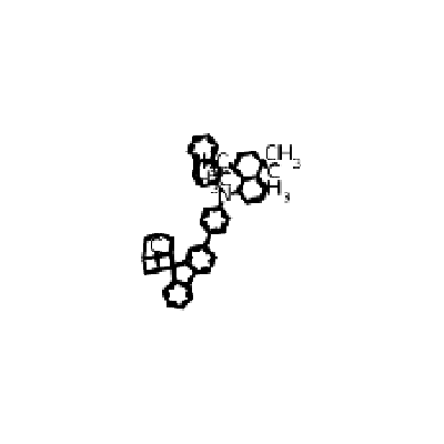 CC1(C)CCC(C)(C)C2C1=CC=CC2N(c1ccc(-c2ccc3c(c2)C2(c4ccccc4-3)C3CC4CC5CC2C53C4)cc1)c1ccc2ccccc2c1